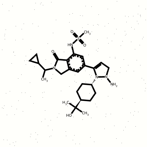 CC(C1CC1)N1Cc2cc(C3=CCN(N)N3[C@H]3CC[C@H](C(C)(C)O)CC3)cc(NS(C)(=O)=O)c2C1=O